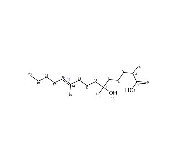 C=C(O)C(C)CCCC(C)(O)CCC/C(C)=C/CCCC